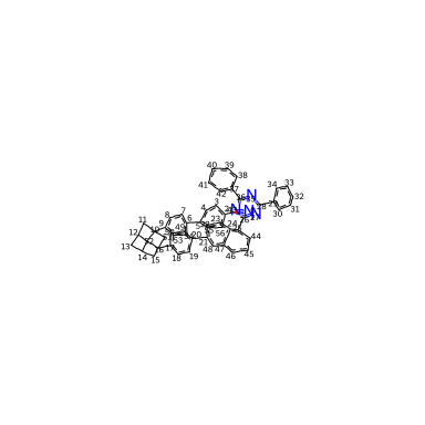 N#Cc1ccc(-c2ccc(C34CC5CC6CC(c7ccc(-c8ccc9c(-c%10nc(-c%11ccccc%11)nc(-c%11ccccc%11)n%10)cccc9c8)cc7)(C3)C564)cc2)cc1